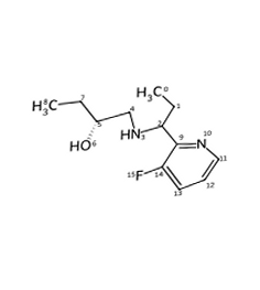 CCC(NC[C@H](O)CC)c1ncccc1F